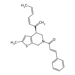 C=C(/C=C\C=C/C)[C@H]1CN(C(=O)/C=C/c2ccccc2)Cc2sc(C)cc21